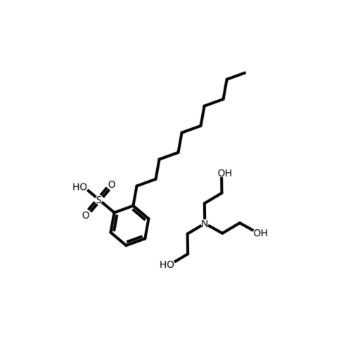 CCCCCCCCCCc1ccccc1S(=O)(=O)O.OCCN(CCO)CCO